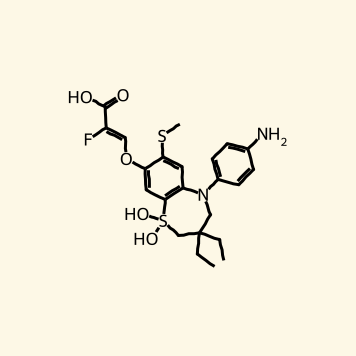 CCC1(CC)CN(c2ccc(N)cc2)c2cc(SC)c(OC=C(F)C(=O)O)cc2S(O)(O)C1